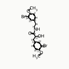 COc1ccc(CCNC(=O)C(O)Cc2ccc(OC)c(Br)c2)cc1Br